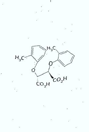 Cc1ccccc1O[C@@H](C(=O)O)[C@@H](Oc1ccccc1C)C(=O)O